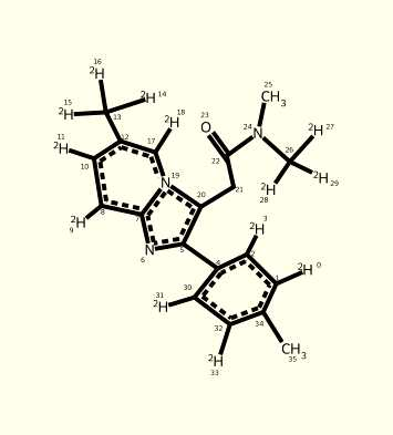 [2H]c1c([2H])c(-c2nc3c([2H])c([2H])c(C([2H])([2H])[2H])c([2H])n3c2CC(=O)N(C)C([2H])([2H])[2H])c([2H])c([2H])c1C